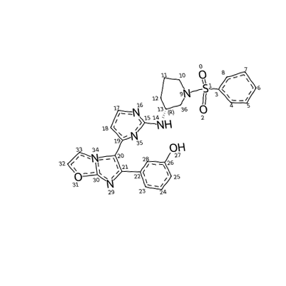 O=S(=O)(c1ccccc1)N1CCC[C@@H](Nc2nccc(-c3c(-c4cccc(O)c4)nc4occn34)n2)C1